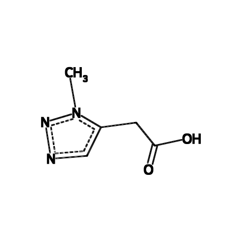 Cn1nncc1CC(=O)O